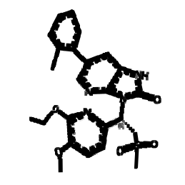 CCOc1nc([C@@H](CS(C)(=O)=O)n2c(=O)[nH]c3cc(-c4ccccc4C)cnc32)ccc1OC